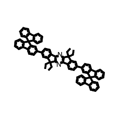 CCC1(CC)c2cc(-c3ccc4c(c3)C3(c5ccccc5-c5ccccc53)c3ccccc3-4)ccc2-c2nc3c(nc21)-c1ccc(-c2ccc4c(c2)C2(c5ccccc5-c5ccccc52)c2ccccc2-4)cc1C3(CC)CC